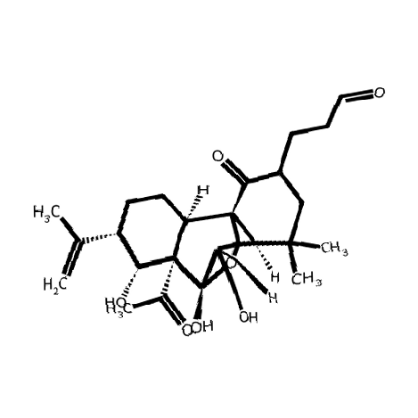 C=C(C)[C@@H]1CC[C@H]2[C@@]34CO[C@@](O)([C@@H](O)[C@@H]3C(C)(C)CC(CCC=O)C4=O)[C@@]2(C(C)=O)[C@@H]1O